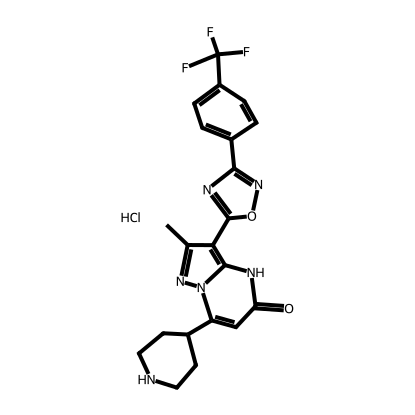 Cc1nn2c(C3CCNCC3)cc(=O)[nH]c2c1-c1nc(-c2ccc(C(F)(F)F)cc2)no1.Cl